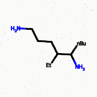 CCCCC(N)C(CC)CCCN